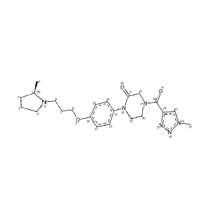 C[C@@H]1CCCN1CCCOc1ccc(N2CCN(C(=O)c3cn(C)nn3)CC2=O)cc1